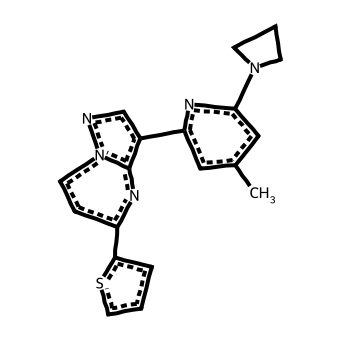 Cc1cc(-c2cnn3ccc(-c4cccs4)nc23)nc(N2CCC2)c1